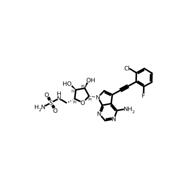 Nc1ncnc2c1c(C#Cc1c(F)cccc1Cl)cn2[C@@H]1O[C@H](CNS(N)(=O)=O)[C@@H](O)[C@H]1O